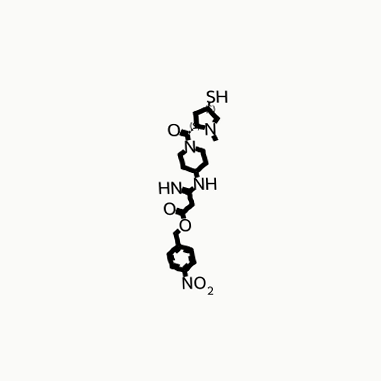 CN1C[C@@H](S)C[C@H]1C(=O)N1CCC(NC(=N)CC(=O)OCc2ccc([N+](=O)[O-])cc2)CC1